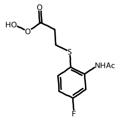 CC(=O)Nc1cc(F)ccc1SCCC(=O)OO